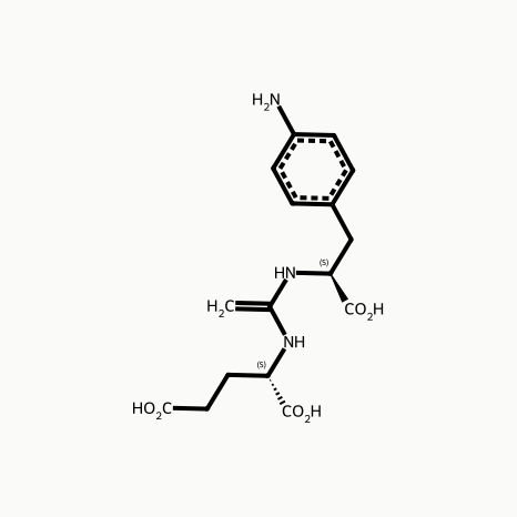 C=C(N[C@@H](CCC(=O)O)C(=O)O)N[C@@H](Cc1ccc(N)cc1)C(=O)O